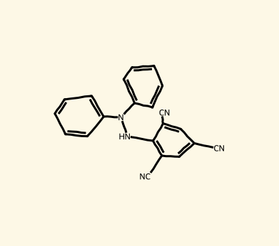 N#Cc1cc(C#N)c(NN(c2ccccc2)c2ccccc2)c(C#N)c1